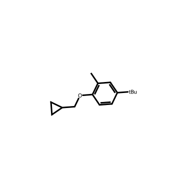 Cc1cc(C(C)(C)C)ccc1OCC1CC1